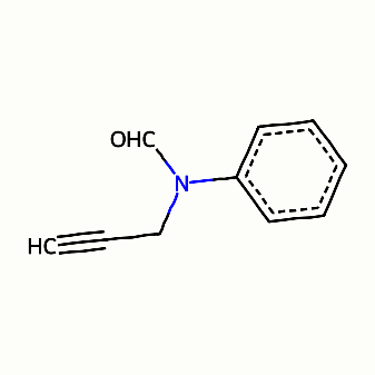 C#CCN(C=O)c1ccccc1